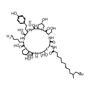 CCC(C)CC(C)CCCCCCCCC(=O)N[C@H]1C[C@@H](O)[C@@H](C)NC(=O)[C@@H]2[C@@H](O)CCN2C(=O)[C@H]([C@H](O)CCN)NC(=O)[C@H]([C@H](O)[C@@H](O)c2ccc(O)cc2)NC(=O)[C@@H]2C[C@@H](O)CN2C(=O)[C@H]([C@@H](C)O)NC1=O